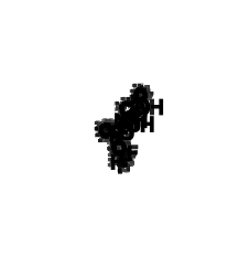 O=C1/C(=N\NC2(C(=O)O)C=CC=C(c3ccccc3O)C2)c2ccccc2N1c1ccc(C(F)(F)F)c(F)c1